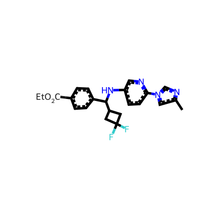 CCOC(=O)c1ccc(C(Nc2ccc(-n3cnc(C)c3)nc2)C2CC(F)(F)C2)cc1